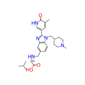 Cc1cc(-c2nc3cc(CN[C@@H](CC(C)C)C(=O)O)ccc3n2CC2CCN(C)CC2)c[nH]c1=O